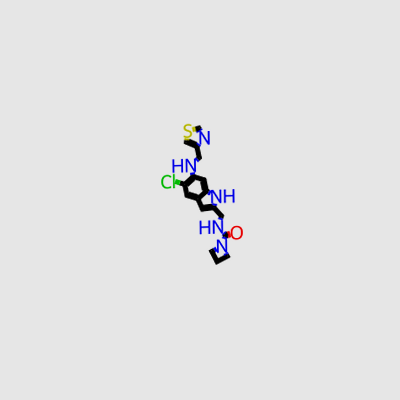 O=C(NCc1cc2cc(Cl)c(NCc3cscn3)cc2[nH]1)N1CCC1